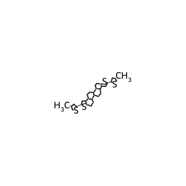 Cc1csc(-c2cc3c(ccc4c3ccc3c5ccc6sc(-c7cc(C)cs7)cc6c5ccc43)s2)c1